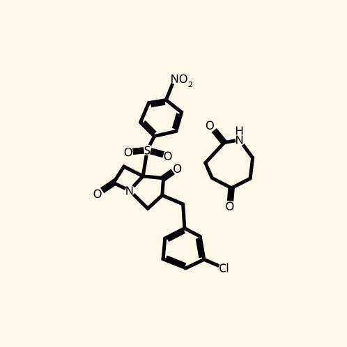 O=C1CC2(S(=O)(=O)c3ccc([N+](=O)[O-])cc3)C(=O)C(Cc3cccc(Cl)c3)CN12.O=C1CCNC(=O)CC1